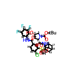 CC(C)(C)OC(=O)N1C[C@H](O)C[C@H]1C(=O)NC[C@]1(O)C2CC1C[C@@H](S(=O)(=O)c1cc(C(=O)Nc3cc(F)c(F)c(F)c3)ccc1Cl)C2